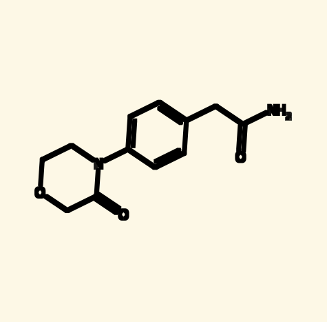 NC(=O)Cc1ccc(N2CCOCC2=O)cc1